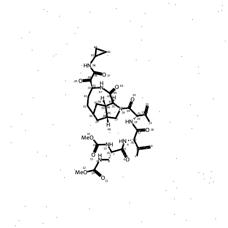 C=C(C)[C@H](NC(=O)[C@H](CNC(=O)OC)NC(=O)OC)C(=O)N[C@@H](C(=C)C)C(=O)N1C[C@@H]2CC3CC[C@@H](C(=O)C(=O)NC4CC4)NC(=O)[C@@H]1[C@H]2C3